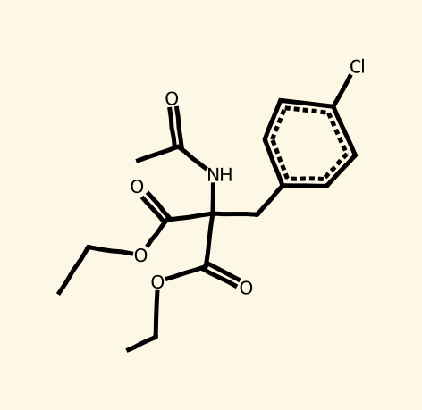 CCOC(=O)C(Cc1ccc(Cl)cc1)(NC(C)=O)C(=O)OCC